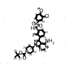 COc1ccc(S(=O)(=O)Nc2cccc(-c3nn(C4CCN(C(=O)OC(C)(C)C)CC4)c4ncnc(N)c34)c2F)cc1Cl